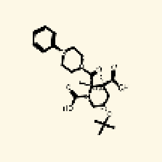 CC(C)(C)O[C@@H]1CN(C(=O)O)[C@](C)(C(=O)N2CCN(c3ccccc3)CC2)[C@@](C)(C(=O)O)C1